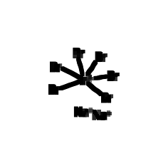 [Br][Ir-2]([Br])([Br])([Br])([Br])[Br].[Na+].[Na+]